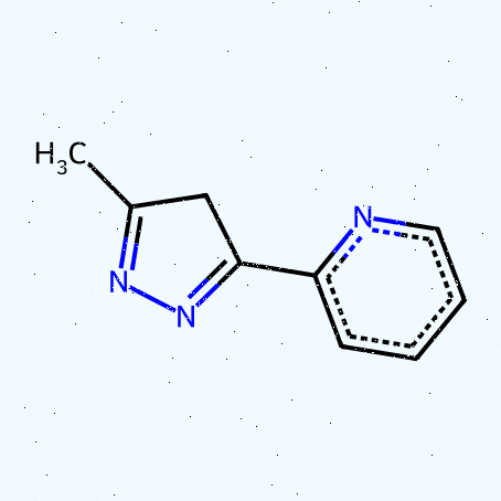 CC1=NN=C(c2ccccn2)C1